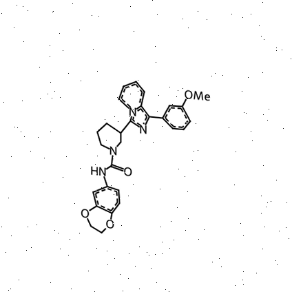 COc1cccc(-c2nc(C3CCCN(C(=O)Nc4ccc5c(c4)OCCO5)C3)n3ccccc23)c1